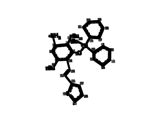 CCCCc1cc(N)c(CCCC)c(O[Si](c2ccccc2)(c2ccccc2)C(C)(C)C)c1C=Cc1cccs1